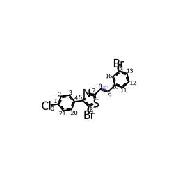 Clc1ccc(-c2nc(/C=C/c3cccc(Br)c3)sc2Br)cc1